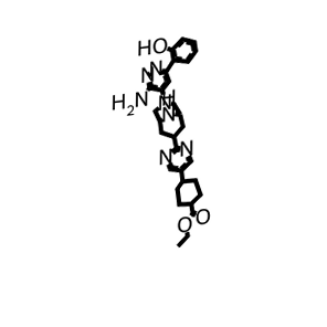 CCOC(=O)C1CCC(c2cnc(C3CC4CN(c5cc(-c6ccccc6O)nnc5N)CC(C3)N4)nc2)CC1